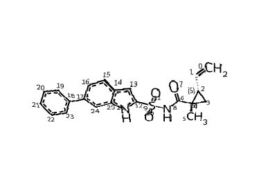 C=C[C@@H]1C[C@]1(C)C(=O)NS(=O)(=O)c1cc2ccc(-c3ccccc3)cc2[nH]1